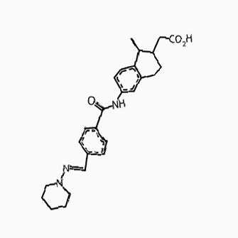 CC1c2ccc(NC(=O)c3ccc(C=NN4CCCCC4)cc3)cc2CCC1CC(=O)O